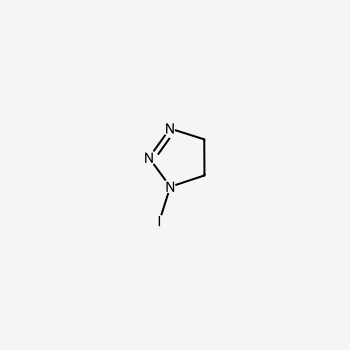 IN1CCN=N1